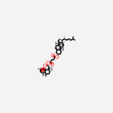 CC(C)CCC[C@@H](C)[C@H]1CC[C@H]2[C@@H]3CC=C4C[C@@H](OC(=O)CCC(=O)OC5O[C@@H]6O[C@]7(C)CC[C@H]8[C@H](C)CC[C@@H]([C@H]5C)C68OO7)CC[C@]4(C)[C@H]3CC[C@]12C